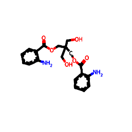 Nc1ccccc1C(=O)OCC(CO)(CO)COC(=O)c1ccccc1N